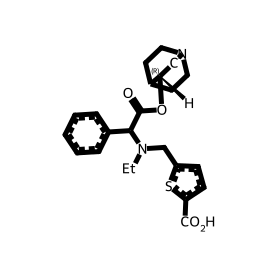 CCN(Cc1ccc(C(=O)O)s1)C(C(=O)O[C@H]1CN2CCC1CC2)c1ccccc1